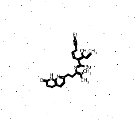 C\C=C/C(C)=C(/C=C\CC#CCC)C(=N\C(CCc1ccc2c(n1)NC(=O)CC2)=C(C)C)\C(C)CC